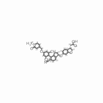 Cc1cc(OCc2ccn(C)c(=O)c2)cc(C)c1-c1c(C#N)ccc2c1CC[C@H]2Oc1ccc2c(c1)OC[C@H]2CC(=O)O